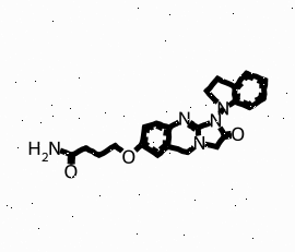 NC(=O)CCCOc1ccc2c(c1)CN1CC(=O)N(N3CCc4ccccc43)C1=N2